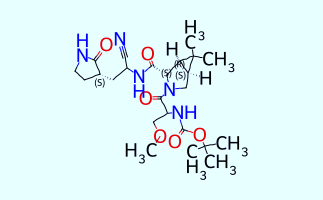 COCC(NC(=O)OC(C)(C)C)C(=O)N1C[C@H]2[C@@H]([C@H]1C(=O)NC(C#N)C[C@@H]1CCNC1=O)C2(C)C